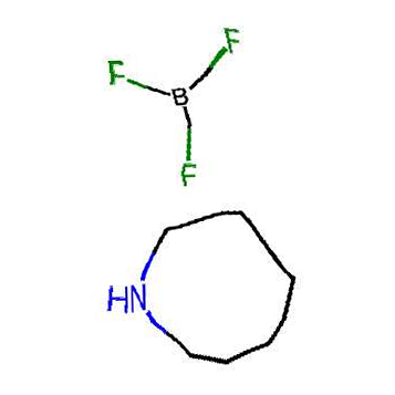 C1CCNCC1.FB(F)F